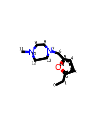 CCc1ccc(CN2CCN(C)CC2)o1